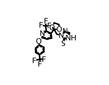 FC(F)(F)c1ccc(Oc2ccc(C3(Cn4nc[nH]c4=S)OCCO3)c(C(F)(F)F)n2)cc1